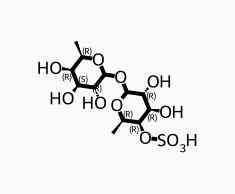 C[C@H]1OC(OC2O[C@H](C)[C@H](OS(=O)(=O)O)[C@H](O)[C@H]2O)[C@H](O)[C@@H](O)[C@H]1O